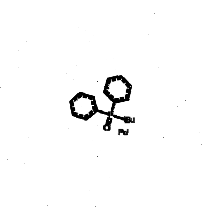 CCC(C)P(=O)(c1ccccc1)c1ccccc1.[Pd]